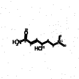 CN(C)CCCC=CC(N)=O.Cl